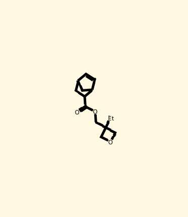 CCC1(COC(=O)C2CC3C=CC2C3)COC1